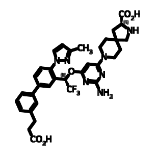 Cc1ccn(-c2ccc(-c3cccc(CCC(=O)O)c3)cc2[C@@H](Oc2cc(N3CCC4(CC3)CN[C@H](C(=O)O)C4)nc(N)n2)C(F)(F)F)n1